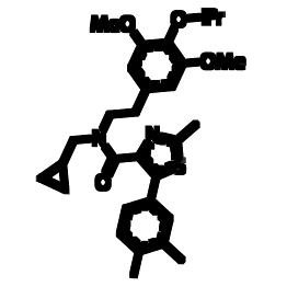 COc1cc(CCN(CC2CC2)C(=O)c2nc(C)sc2-c2ccc(C)c(C)c2)cc(OC)c1OC(C)C